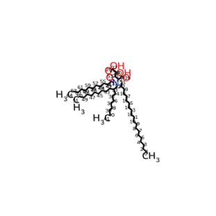 CCCCCCCCCCCCCCCCCCCCCC[C@](CCC(=O)O)(C(=O)O)N(CC(CCCCCCCC)CCCCCCCCCC)C(=O)CCCCCCCCCCC